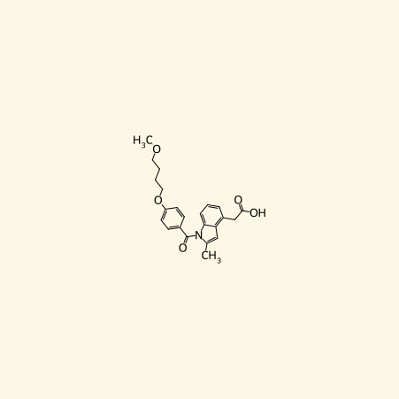 COCCCCOc1ccc(C(=O)n2c(C)cc3c(CC(=O)O)cccc32)cc1